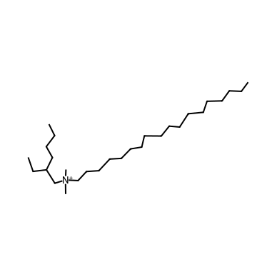 CCCCCCCCCCCCCCCCCC[N+](C)(C)CC(CC)CCCC